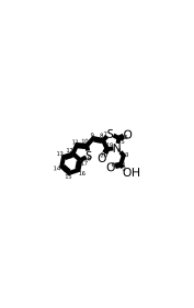 O=C(O)CN1C(=O)SC(=Cc2cc3ccccc3s2)C1=O